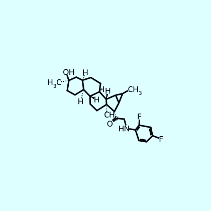 CC1C2C1[C@H]1[C@@H]3CC[C@@H]4C[C@](C)(O)CC[C@@H]4[C@H]3CC[C@]1(C)[C@H]2C(=O)CNc1ccc(F)cc1F